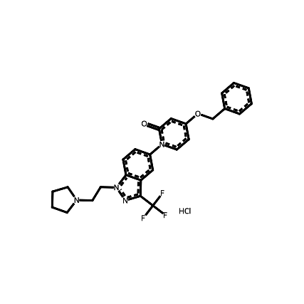 Cl.O=c1cc(OCc2ccccc2)ccn1-c1ccc2c(c1)c(C(F)(F)F)nn2CCN1CCCC1